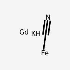 N#[C][Fe].[Gd].[KH]